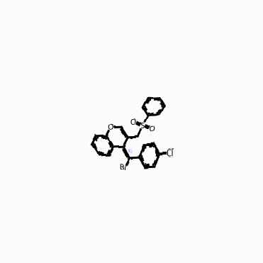 O=S(=O)(CC1=COc2ccccc2/C1=C(\Br)c1ccc(Cl)cc1)c1ccccc1